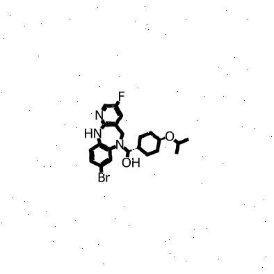 CC(C)O[C@H]1CC[C@H](C(O)N2Cc3cc(F)cnc3Nc3ccc(Br)cc32)CC1